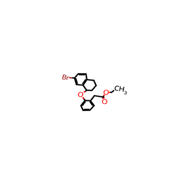 CCOC(=O)Cc1ccccc1OC1CCCc2ccc(Br)cc21